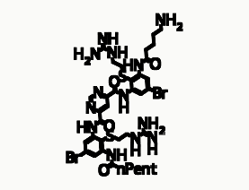 CCCCCC(=O)Nc1cc(Br)cc(NC(=O)c2cc(C(=O)Nc3cc(Br)cc(NC(=O)CCCCN)c3SCCNC(=N)N)ncn2)c1SCCNC(=N)N